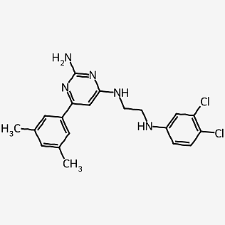 Cc1cc(C)cc(-c2cc(NCCNc3ccc(Cl)c(Cl)c3)nc(N)n2)c1